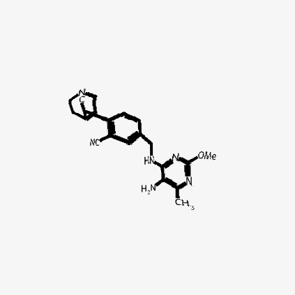 COc1nc(C)c(N)c(NCc2ccc(C3CN4CCC3CC4)c(C#N)c2)n1